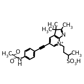 CC1=Nc2c(cc(C#Cc3ccc(NS(C)(=O)=O)cc3)c[n+]2CCC(C)S(=O)(=O)O)C1(C)C